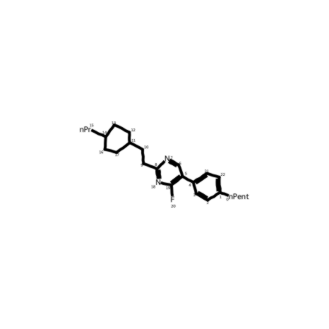 CCCCCc1ccc(-c2cnc(CCC3CCC(CCC)CC3)nc2F)cc1